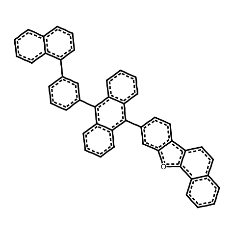 c1cc(-c2cccc3ccccc23)cc(-c2c3ccccc3c(-c3ccc4c(c3)oc3c5ccccc5ccc43)c3ccccc23)c1